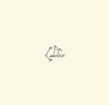 CC(C)OC(C)C.CCCCCC.CCOC(C)=O